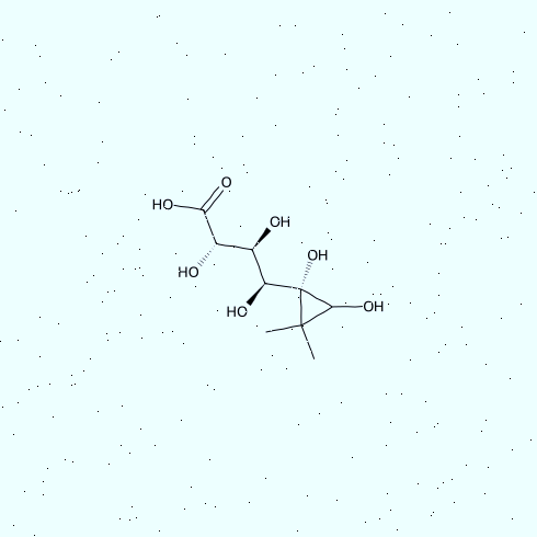 CC1(C)C(O)[C@]1(O)[C@@H](O)[C@H](O)[C@H](O)C(=O)O